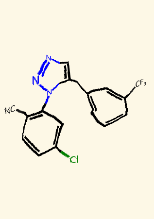 N#Cc1ccc(Cl)cc1-n1nncc1-c1cccc(C(F)(F)F)c1